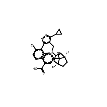 O=C(O)c1ccnc(C2(O)[C@@H]3CC[C@H]2CC(OCc2c(-c4c(Cl)cccc4Cl)noc2C2CC2)C3)c1